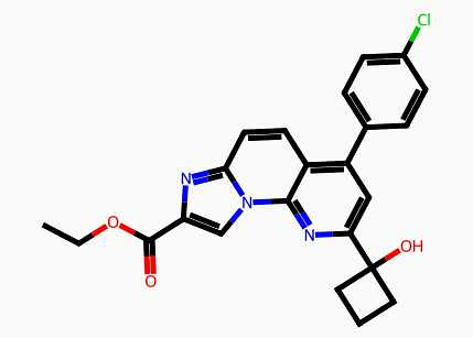 CCOC(=O)c1cn2c(ccc3c(-c4ccc(Cl)cc4)cc(C4(O)CCC4)nc32)n1